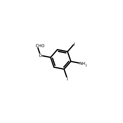 Nc1c(I)cc(OC=O)cc1I